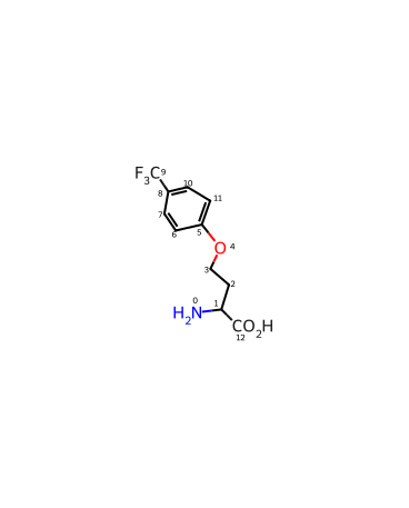 NC(CCOc1ccc(C(F)(F)F)cc1)C(=O)O